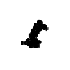 CCNC(=O)C1=NNC(c2cc(C(C)C)c(O)cc2O)N1c1ccc(C(=O)N[C@@H](C)C(=O)Nc2nc3ccc(-c4[nH]c(C(C)(C)C)nc4-c4ccc(F)cc4)nc3n2CC(C)(C)C)cc1